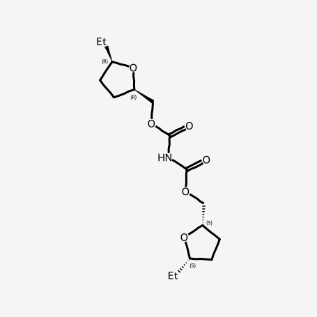 CC[C@@H]1CC[C@H](COC(=O)NC(=O)OC[C@@H]2CC[C@H](CC)O2)O1